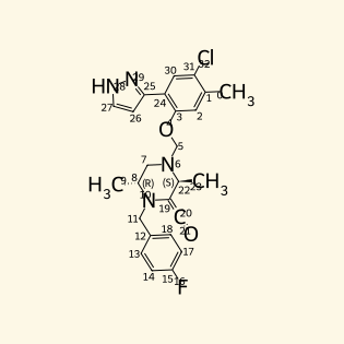 Cc1cc(OCN2C[C@@H](C)N(Cc3ccc(F)cc3)C(=C=O)[C@@H]2C)c(-c2cc[nH]n2)cc1Cl